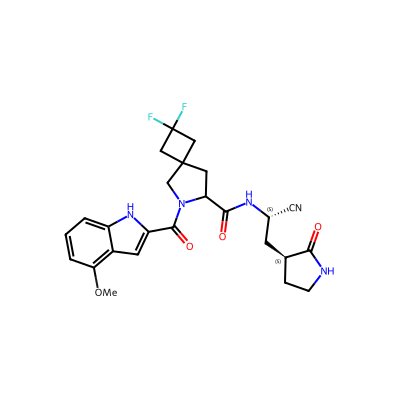 COc1cccc2[nH]c(C(=O)N3CC4(CC3C(=O)N[C@H](C#N)C[C@@H]3CCNC3=O)CC(F)(F)C4)cc12